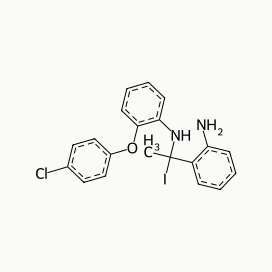 CC(I)(Nc1ccccc1Oc1ccc(Cl)cc1)c1ccccc1N